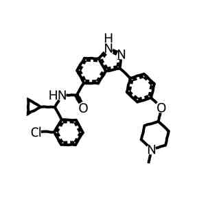 CN1CCC(Oc2ccc(-c3n[nH]c4ccc(C(=O)NC(c5ccccc5Cl)C5CC5)cc34)cc2)CC1